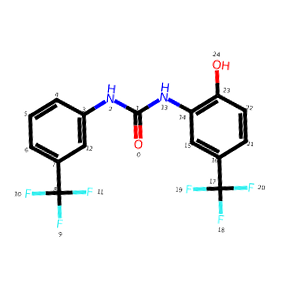 O=C(Nc1cccc(C(F)(F)F)c1)Nc1cc(C(F)(F)F)ccc1O